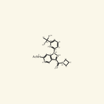 CC(=O)Nc1cc2c(cn1)c(C(=O)N1CCC1)nn2-c1cccc(C(C)(F)F)n1